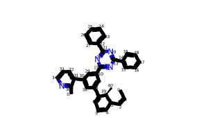 C/C=C\C1C=CC=C(c2cc(-c3nc(-c4ccccc4)nc(-c4ccccc4)n3)cc(-c3cccnc3C)c2)[C@H]1C